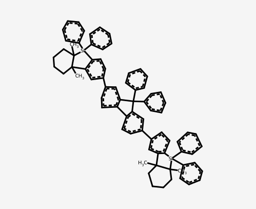 CC12CCCCC1(C)[Si](c1ccccc1)(c1ccccc1)c1ccc(-c3ccc4c(c3)C(c3ccccc3)(c3ccccc3)c3cc(-c5ccc6c(c5)C5(C)CCCCC5(C)[Si]6(c5ccccc5)c5ccccc5)ccc3-4)cc12